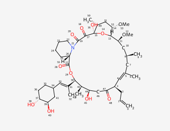 C=CC[C@@H]1/C=C(\C)C[C@H](C)C[C@H](OC)[C@H]2O[C@@](O)(C(=O)C(=O)N3CCCC[C@H]3C(=O)O[C@H](/C(C)=C/C3CC[C@@H](O)[C@H](O)C3)[C@H](C)[C@H](O)CC1=O)[C@H](C)C[C@@H]2OC